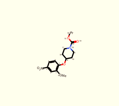 COc1cc([N+](=O)[O-])ccc1OC1CCN(C(=O)OC(C)C)CC1